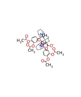 CC(=O)Oc1ccc(C[N+]2(C)C3CCC2CC([C@@]2(C(=O)[O-])CC[C@@]2(C(=O)[O-])C2CC4CCC(C2)[N+]4(C)Cc2ccc(OC(C)=O)c(OC(C)=O)c2)C3)cc1OC(C)=O